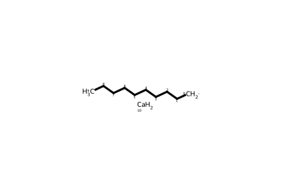 [CH2]CCCCCCCCC.[CaH2]